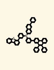 c1ccc(-c2ccc3cc(N(c4cccc(-c5ccc6c(c5)c(-c5ccccc5)c(-c5ccccc5)c5ccccc56)c4)c4cccc(-c5cccc6c5sc5ccccc56)c4)ccc3c2)cc1